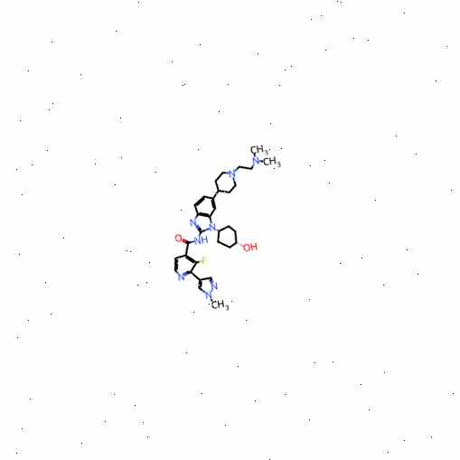 CN(C)CCN1CCC(c2ccc3nc(NC(=O)c4ccnc(-c5cnn(C)c5)c4F)n([C@H]4CC[C@@H](O)CC4)c3c2)CC1